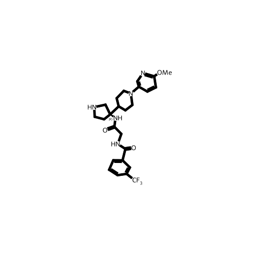 COc1ccc(N2CCC([C@]3(NC(=O)CNC(=O)c4cccc(C(F)(F)F)c4)CCNC3)CC2)cn1